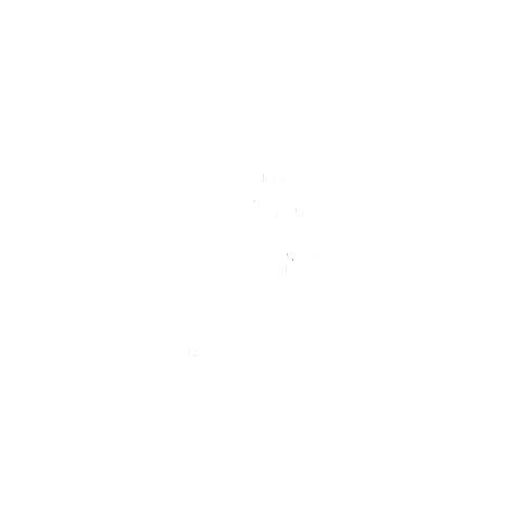 CC(C)(C)OC(=O)C(Cc1ccc(OC(C)(C)C)cc1)NS(=O)(=O)F